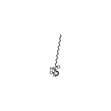 CCCCCCCCCCCCCCCC(=O)Nn1cccnc1=O